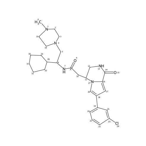 CN1CCN(CC(NC(=O)CC2CNC(=O)c3cc(-c4cccc(Cl)c4)cn32)C2CCCCC2)CC1